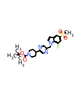 CC(C)(C)OC(=O)N1CCC(c2cnc(Cn3ccc4cc(S(C)(=O)=O)cc(F)c43)cn2)CC1